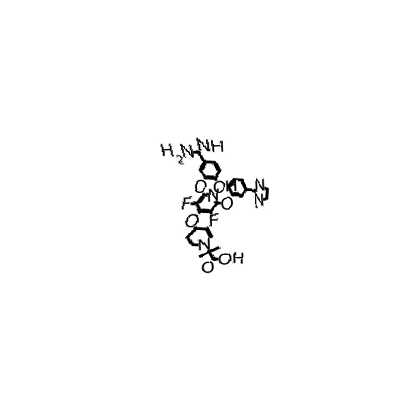 CN1CCN=C1c1cccc(Oc2nc(Oc3cc(C(=N)N)ccc3O)c(F)c(OC3CCN(C(C)(C)C(=O)O)CC3)c2F)c1